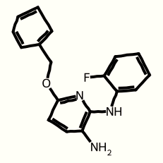 Nc1ccc(OCc2ccccc2)nc1Nc1ccccc1F